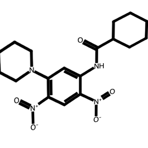 O=C(Nc1cc(N2CCCCC2)c([N+](=O)[O-])cc1[N+](=O)[O-])C1CCCCC1